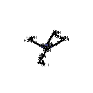 CCN1CCN(CC(=O)O)CCN(C(CCC(=O)NCCCC(=O)NC(COC/C(N)=C/N(N)CCOCCOCCOC2CC(O)C(O)C(CO)O2)(COC/C(N)=C/N(N)CCOCCOCCOC2CC(O)C(O)C(CO)O2)COC/C(=C/NCCOCCOCCOC2CC(O)C(O)C(CO)O2)N=N)C(=O)O)CC1